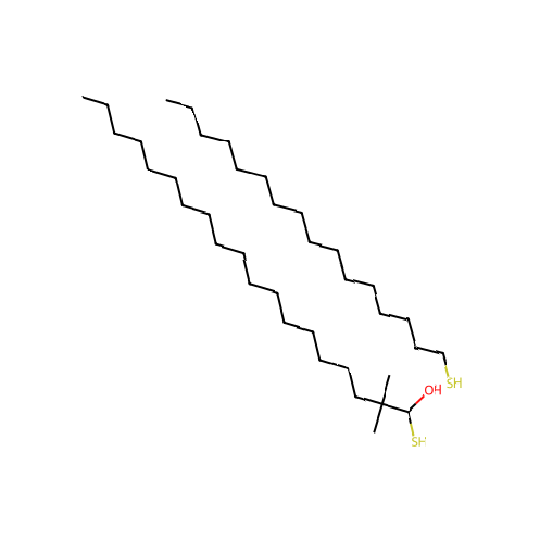 CCCCCCCCCCCCCCCCCC(C)(C)C(O)S.CCCCCCCCCCCCCCCCS